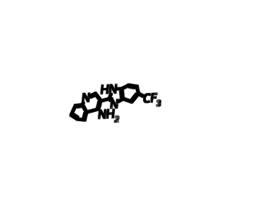 Nc1c(-c2nc3cc(C(F)(F)F)ccc3[nH]2)cnc2ccccc12